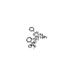 CC(C)Nc1nc(Nc2ccccc2S(=O)(=O)N(C)C)nc(-c2ccccc2)n1